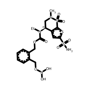 CCN(C(=O)OCc1ccccc1CON(O)O)[C@H]1CN(C)S(=O)(=O)c2sc(S(N)(=O)=O)cc21